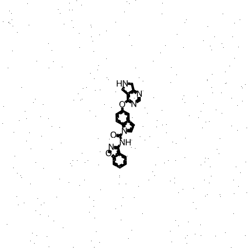 O=C(Nc1noc2ccccc12)n1ccc2cc(Oc3ncnc4c3CNC4)ccc21